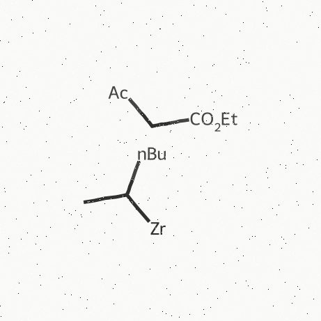 CCCC[CH](C)[Zr].CCOC(=O)CC(C)=O